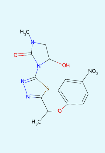 CC(Oc1ccc([N+](=O)[O-])cc1)c1nnc(N2C(=O)N(C)CC2O)s1